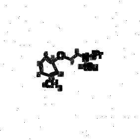 Cc1cccc(OCCN(C(C)C)C(C)(C)C)c1